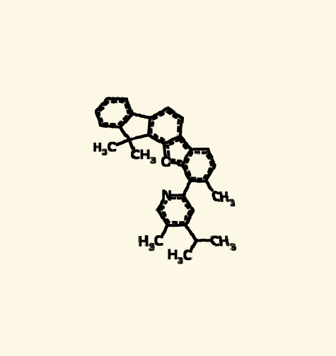 Cc1cnc(-c2c(C)ccc3c2oc2c4c(ccc23)-c2ccccc2C4(C)C)cc1C(C)C